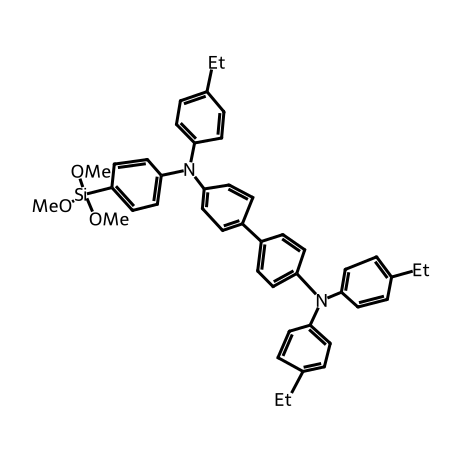 CCc1ccc(N(c2ccc(CC)cc2)c2ccc(-c3ccc(N(c4ccc(CC)cc4)c4ccc([Si](OC)(OC)OC)cc4)cc3)cc2)cc1